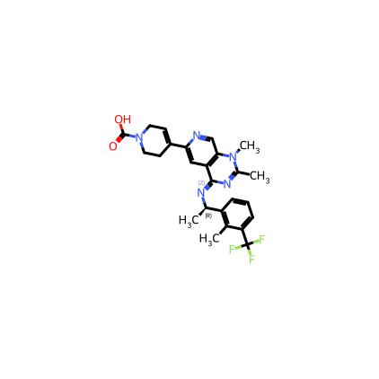 Cc1c([C@@H](C)/N=c2\nc(C)n(C)c3cnc(C4=CCN(C(=O)O)CC4)cc23)cccc1C(F)(F)F